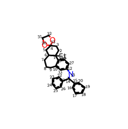 CCC12CCC3(CC1CCCc1cc(N=C(c4ccccc4)c4ccccc4)ccc12)OCCO3